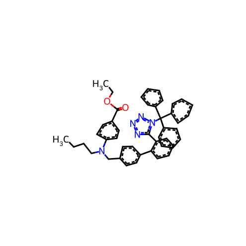 CCCCN(Cc1ccc(-c2ccccc2-c2nnnn2C(c2ccccc2)(c2ccccc2)c2ccccc2)cc1)c1ccc(C(=O)OCC)cc1